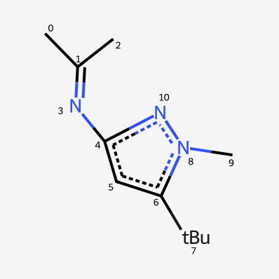 CC(C)=Nc1cc(C(C)(C)C)n(C)n1